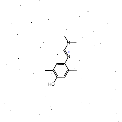 Cc1cc(/N=C/N(C)C)c(C)cc1O